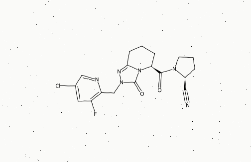 N#C[C@@H]1CCCN1C(=O)[C@@H]1CCCc2nn(Cc3ncc(Cl)cc3F)c(=O)n21